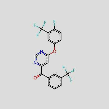 O=C(c1cccc(C(F)(F)F)c1)c1cc(Oc2ccc(F)c(C(F)(F)F)c2)ncn1